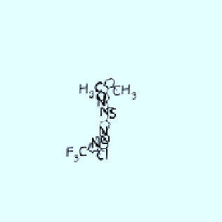 Cc1cccc(C)c1C1CC(c2csc(C3CCN(C(=O)Cn4cc(C(F)(F)F)cc(Cl)c4=O)CC3)n2)=NO1